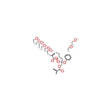 C=C(C)C(=O)OCC(CCCC)(OOC(=O)C(=C)C)Oc1ccccc1.[CH2]C[O].[CH2]C[O].[CH2]C[O].[CH2]C[O].[CH2]C[O].[CH2]C[O].[CH2]C[O].[CH2]C[O]